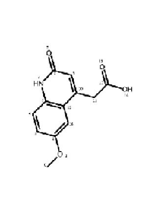 COc1ccc2[nH]c(=O)cc(CC(=O)O)c2c1